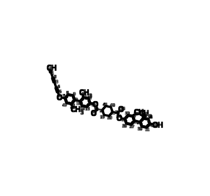 C#CC#CC#COc1ccc(-c2ccc(OC(=O)[C@H]3CC[C@H](C(=O)Oc4ccc(-c5ccc(O)cc5C)c(C)c4)CC3)cc2C)c(C)c1